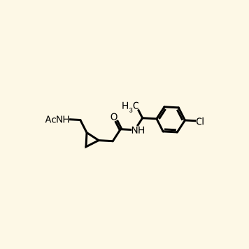 CC(=O)NCC1CC1CC(=O)NC(C)c1ccc(Cl)cc1